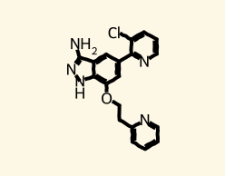 Nc1n[nH]c2c(OCCc3ccccn3)cc(-c3ncccc3Cl)cc12